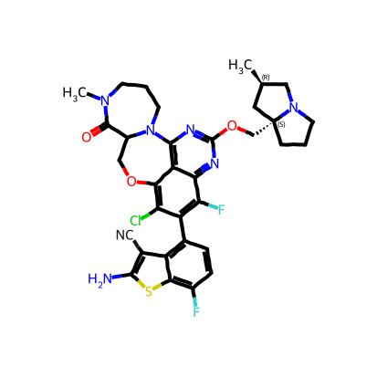 C[C@H]1CN2CCC[C@@]2(COc2nc3c4c(c(Cl)c(-c5ccc(F)c6sc(N)c(C#N)c56)c(F)c4n2)OCC2C(=O)N(C)CCCN32)C1